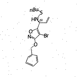 C=C[C@H](NSCCCC)c1onc(OCc2ccccc2)c1Br